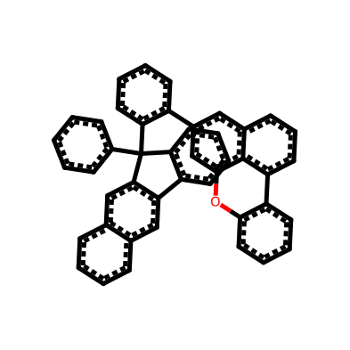 c1ccc(C2(c3ccccc3-c3cc4c5c(cccc5c3)-c3ccccc3O4)c3ccccc3-c3cc4ccccc4cc32)cc1